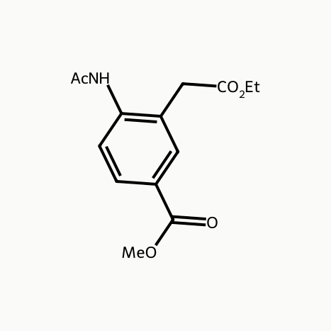 CCOC(=O)Cc1cc(C(=O)OC)ccc1NC(C)=O